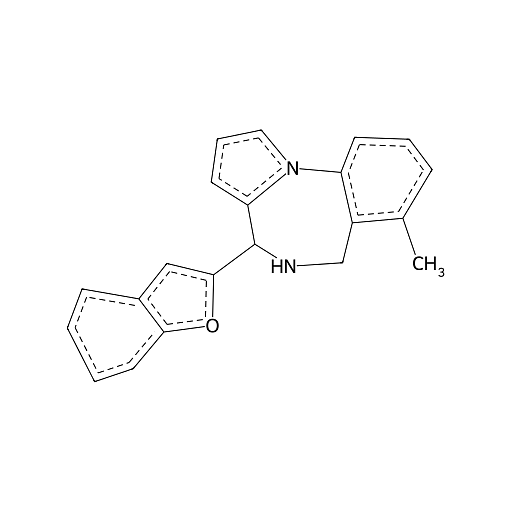 Cc1cccc2c1CNC(c1cc3ccccc3o1)c1cccn1-2